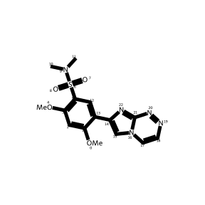 COc1cc(OC)c(S(=O)(=O)N(C)C)cc1-c1cn2ccnnc2n1